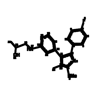 CSc1nc(-c2ccc(F)cc2)c(-c2ccnc(NCC(C)O)c2)n1C